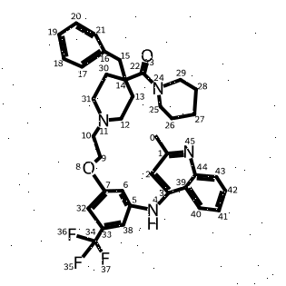 Cc1cc(Nc2cc(OCCN3CCC(Cc4ccccc4)(C(=O)N4CCCCC4)CC3)cc(C(F)(F)F)c2)c2ccccc2n1